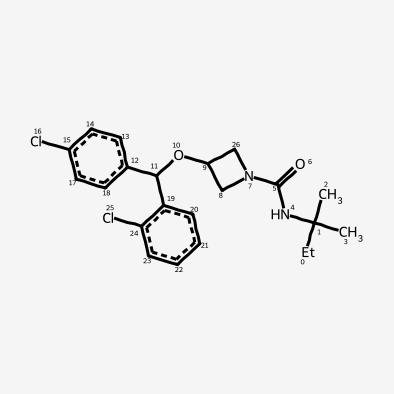 CCC(C)(C)NC(=O)N1CC(OC(c2ccc(Cl)cc2)c2ccccc2Cl)C1